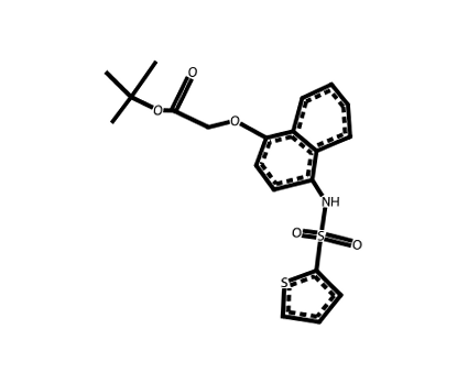 CC(C)(C)OC(=O)COc1ccc(NS(=O)(=O)c2cccs2)c2ccccc12